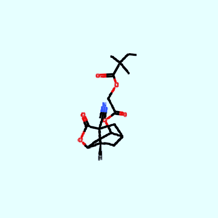 CCC(C)(C)C(=O)OCC(=O)OC1C2C[C@@H]3C1OC(=O)C3(C#N)C2